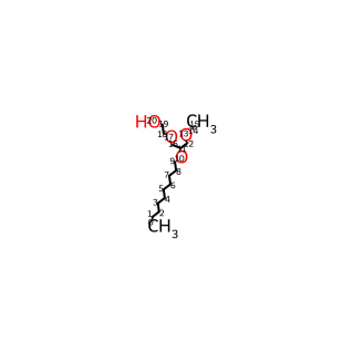 CCCCCCCCCCOC(COCC)COCCO